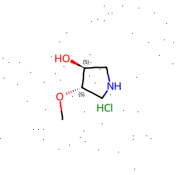 CO[C@H]1CNC[C@@H]1O.Cl